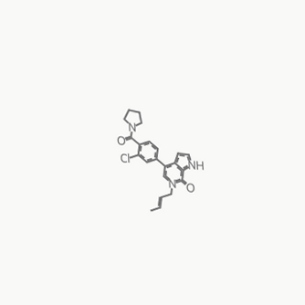 CC=CCn1cc(-c2ccc(C(=O)N3CCCC3)c(Cl)c2)c2cc[nH]c2c1=O